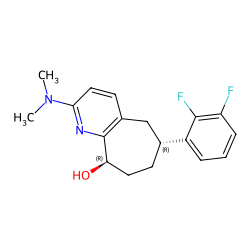 CN(C)c1ccc2c(n1)[C@H](O)CC[C@@H](c1cccc(F)c1F)C2